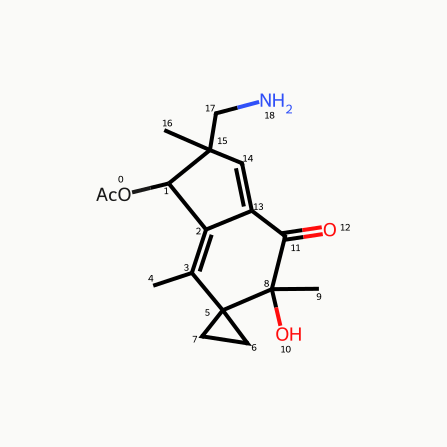 CC(=O)OC1C2=C(C)C3(CC3)C(C)(O)C(=O)C2=CC1(C)CN